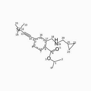 CC(C)OC(=O)c1ccc(C#C[Si](C)(C)C)cc1CNCC1CC1